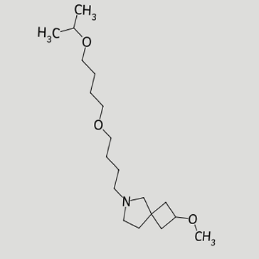 COC1CC2(CCN(CCCCOCCCCOC(C)C)C2)C1